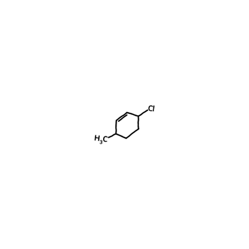 CC1C=CC(Cl)CC1